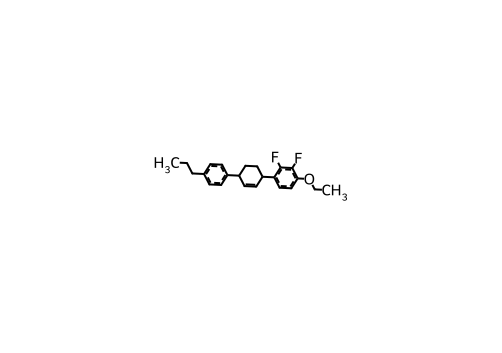 CCCc1ccc(C2C=CC(c3ccc(OCC)c(F)c3F)CC2)cc1